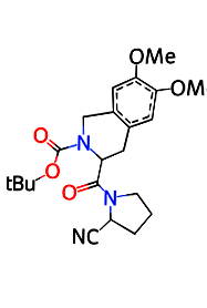 COc1cc2c(cc1OC)CN(C(=O)OC(C)(C)C)C(C(=O)N1CCCC1C#N)C2